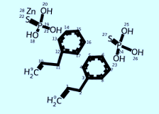 C=CCc1ccccc1.C=CCc1ccccc1.OP(O)(O)=S.OP(O)(O)=S.[Zn]